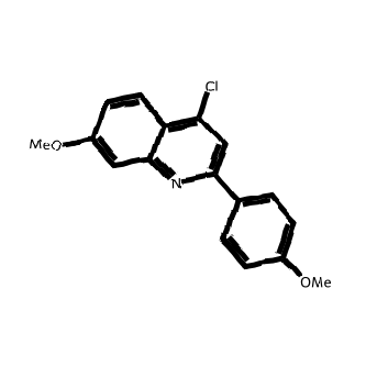 COc1ccc(-c2cc(Cl)c3ccc(OC)cc3n2)cc1